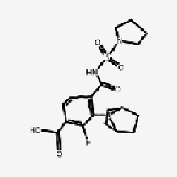 O=C(O)c1ccc(C(=O)NS(=O)(=O)N2CCCC2)c(N2C3CCC2CC3)c1F